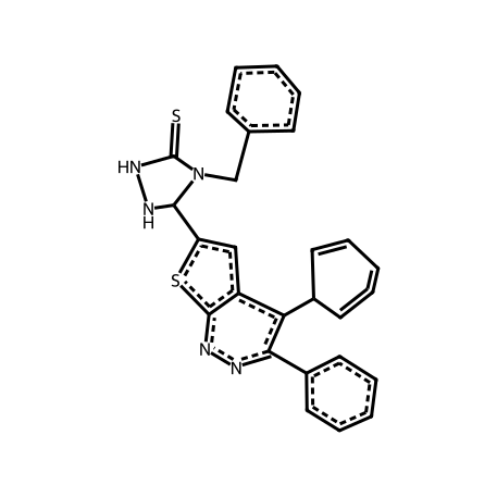 S=C1NNC(c2cc3c(C4C=C=CC=C4)c(-c4ccccc4)nnc3s2)N1Cc1ccccc1